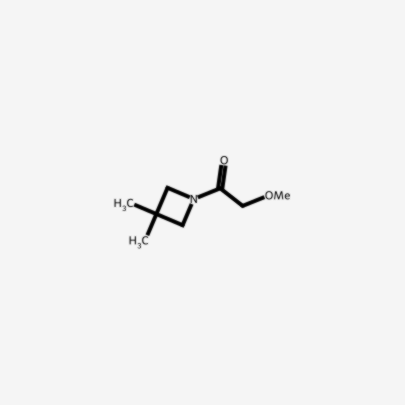 COCC(=O)N1CC(C)(C)C1